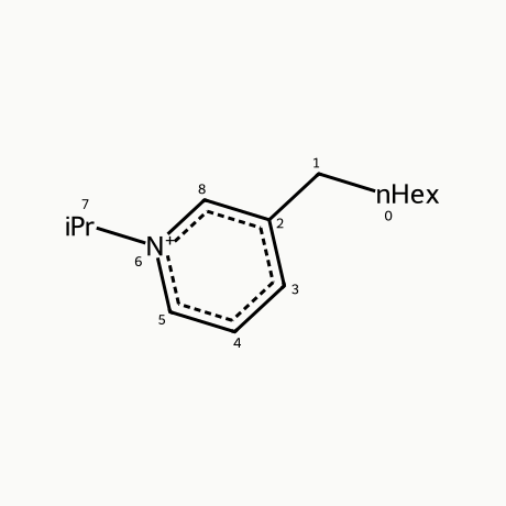 CCCCCCCc1ccc[n+](C(C)C)c1